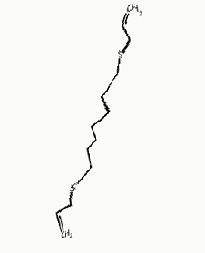 C=CCSCCCCCCCSCC=C